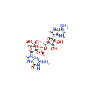 Nc1nc2c(ncn2[C@@H]2OC(CO)(CO)C[C@H]2OP(=O)(O)OC[C@H]2O[C@@H](n3cnc4c(N)ncnc43)[C@H](O)[C@@H]2O)c(=O)[nH]1